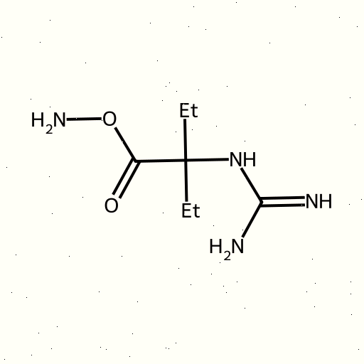 CCC(CC)(NC(=N)N)C(=O)ON